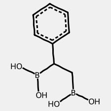 OB(O)CC(B(O)O)c1ccccc1